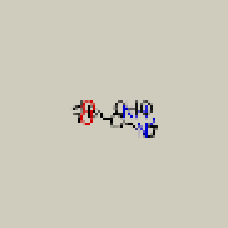 CC1(C)OB(CCC2CCC(CCN3CCCC3)C(N)(C=O)C2)OC1(C)C